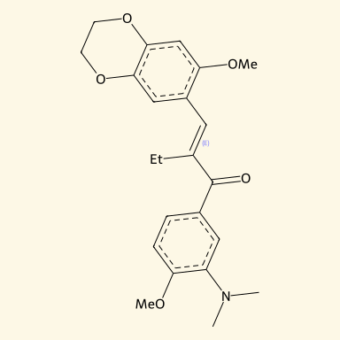 CC/C(=C\c1cc2c(cc1OC)OCCO2)C(=O)c1ccc(OC)c(N(C)C)c1